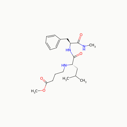 CNC(=O)[C@H](Cc1ccccc1)NC(=O)[C@H](CC(C)C)NCCCC(=O)OC